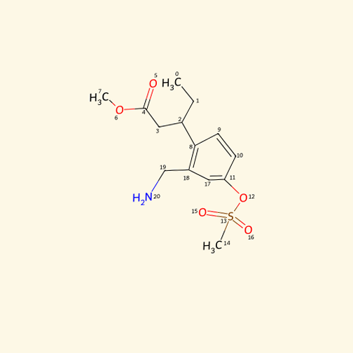 CCC(CC(=O)OC)c1ccc(OS(C)(=O)=O)cc1CN